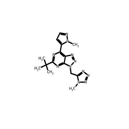 Cn1nccc1-c1nc(C(C)(C)C)nc2c1nnn2Cc1nnnn1C